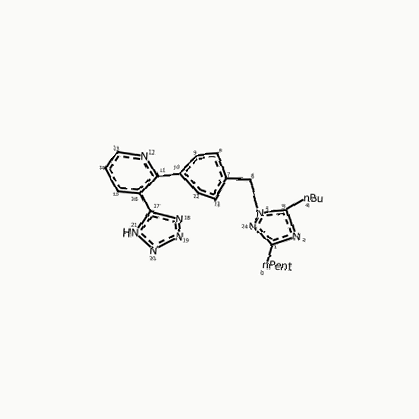 CCCCCc1nc(CCCC)n(Cc2ccc(-c3ncccc3-c3nnn[nH]3)cc2)n1